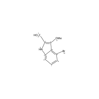 COc1c(C(=O)O)[nH]c2cccc(Br)c12